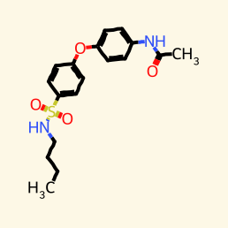 CCCCNS(=O)(=O)c1ccc(Oc2ccc(NC(C)=O)cc2)cc1